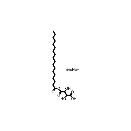 CCCCCCCCCCCCCCCCCC(=O)OC(=O)C(O)C(O)C(=O)O.[NaH].[NaH]